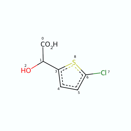 O=C(O)C(O)c1ccc(Cl)s1